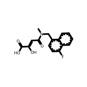 CN(Cc1ccc(F)c2ccccc12)C(=O)/C=C(\O)C(=O)O